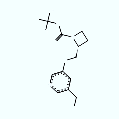 CC(C)(C)OC(=O)N1CC[C@H]1COc1cncc(CO)c1